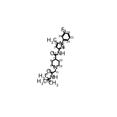 Cc1cc(NC(=O)C2CCN(CC(=O)NC(C)(C)C)CC2)nn1-c1cccc(F)c1